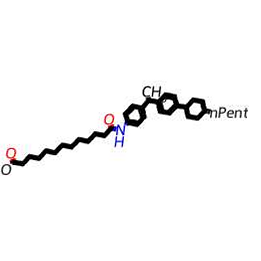 CCCCCC1CCC(c2ccc(C(C)c3ccc(NC(=O)CCCCCCCCCCCC(=O)OC)cc3)cc2)CC1